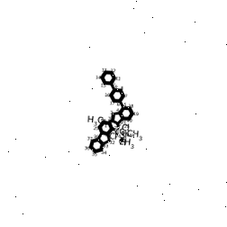 CCC1=Cc2c(-c3ccc(-c4ccccc4)cc3)cccc2[CH]1[Zr]([Cl])([Cl])([c]1cccc2c1Cc1ccccc1-2)[SiH](C)C